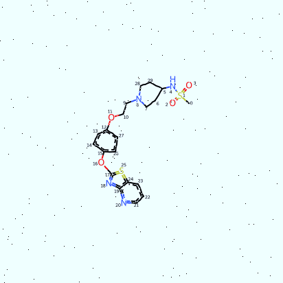 CS(=O)(=O)NC1CCN(CCOc2ccc(Oc3nc4ncccc4s3)cc2)CC1